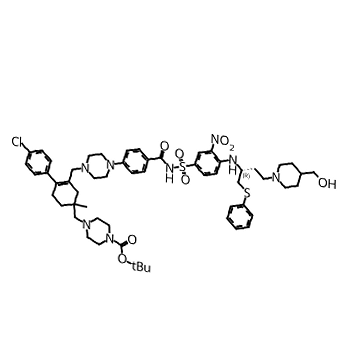 CC1(CN2CCN(C(=O)OC(C)(C)C)CC2)CCC(c2ccc(Cl)cc2)=C(CN2CCN(c3ccc(C(=O)NS(=O)(=O)c4ccc(N[C@H](CCN5CCC(CO)CC5)CSc5ccccc5)c([N+](=O)[O-])c4)cc3)CC2)C1